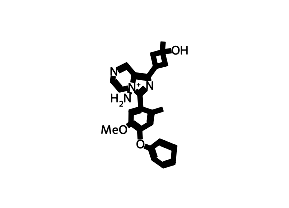 COc1cc(C2=NC(C3CC(C)(O)C3)=C3C=NC=C[N+]23N)c(C)cc1Oc1ccccc1